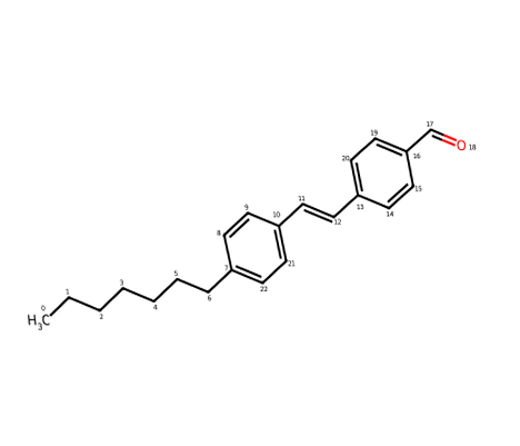 CCCCCCCc1ccc(C=Cc2ccc(C=O)cc2)cc1